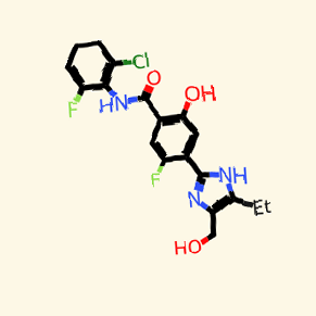 CCc1[nH]c(-c2cc(O)c(C(=O)NC3=C(Cl)CCC=C3F)cc2F)nc1CO